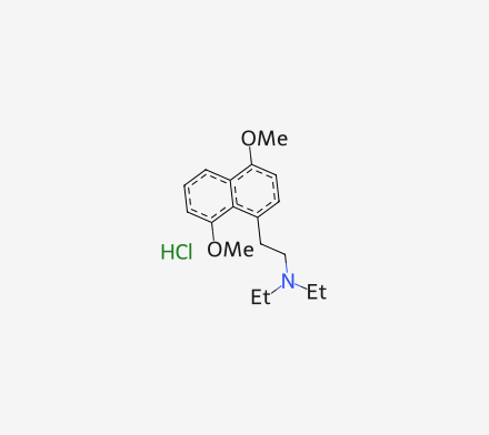 CCN(CC)CCc1ccc(OC)c2cccc(OC)c12.Cl